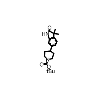 CC(C)(C)OC(=O)N1CCC(c2ccc3c(c2)NC(=O)C3(C)C)CC1